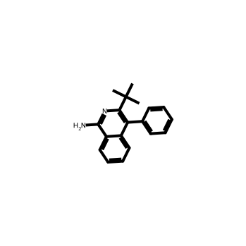 CC(C)(C)c1nc(N)c2ccccc2c1-c1ccccc1